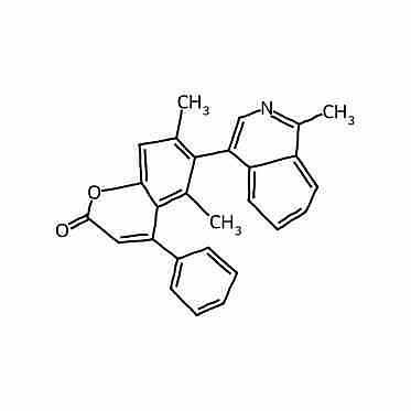 Cc1cc2oc(=O)cc(-c3ccccc3)c2c(C)c1-c1cnc(C)c2ccccc12